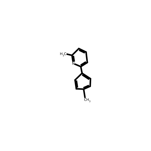 Cc1ccc(-c2cccc(C)n2)cc1